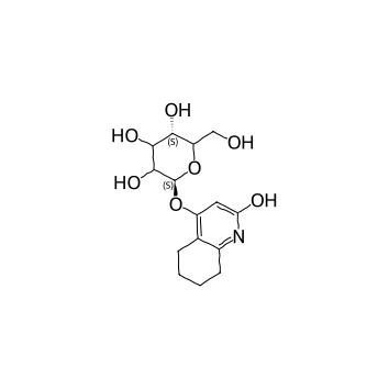 OCC1O[C@@H](Oc2cc(O)nc3c2CCCC3)C(O)C(O)[C@@H]1O